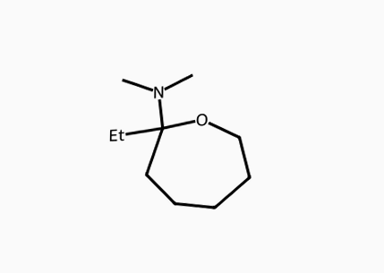 CCC1(N(C)C)CCCCCO1